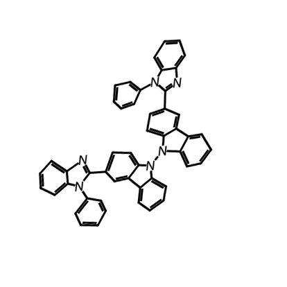 c1ccc(-n2c(-c3ccc4c(c3)c3ccccc3n4-n3c4ccccc4c4cc(-c5nc6ccccc6n5-c5ccccc5)ccc43)nc3ccccc32)cc1